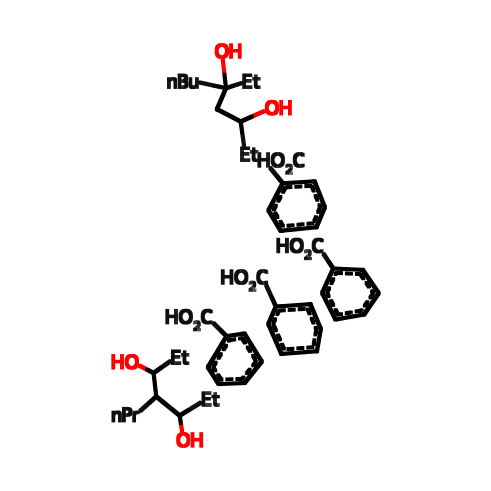 CCCC(C(O)CC)C(O)CC.CCCCC(O)(CC)CC(O)CC.O=C(O)c1ccccc1.O=C(O)c1ccccc1.O=C(O)c1ccccc1.O=C(O)c1ccccc1